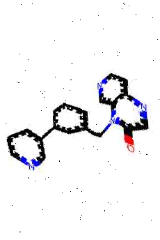 O=c1cnc2ccncc2n1Cc1cccc(-c2cccnc2)c1